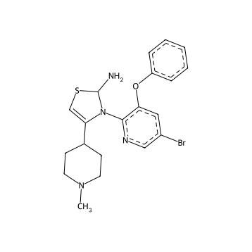 CN1CCC(C2=CSC(N)N2c2ncc(Br)cc2Oc2ccccc2)CC1